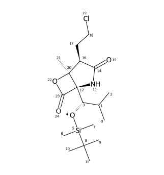 CC(C)[C@H](O[Si](C)(C)C(C)(C)C)[C@@]12NC(=O)[C@H](CCCl)[C@]1(C)OC2=O